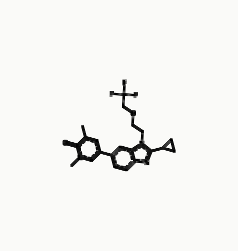 Cc1cc(-c2ccc3nc(C4CC4)n(CCOCC(F)(F)F)c3c2)cn(C)c1=O